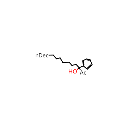 CCCCCCCCCCCCCCCCCC(O)(C(C)=O)c1ccccc1